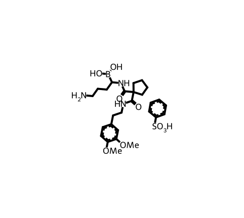 COc1ccc(CCNC(=O)C2(C(=O)NC(CCCN)B(O)O)CCCC2)cc1OC.O=S(=O)(O)c1ccccc1